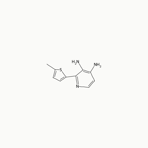 Cc1ccc(-c2nccc(N)c2N)s1